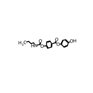 CCCCNC(=O)Oc1ccc(C(=O)Oc2ccc(O)cc2)cc1